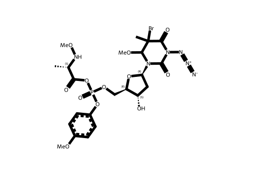 CON[C@@H](C)C(=O)OP(=O)(OC[C@H]1O[C@@H](N2C(=O)N(N=[N+]=[N-])C(=O)C(C)(Br)C2OC)C[C@@H]1O)Oc1ccc(OC)cc1